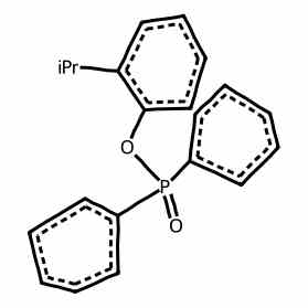 CC(C)c1ccccc1OP(=O)(c1ccccc1)c1ccccc1